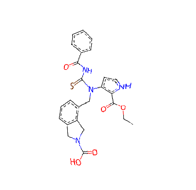 CCOC(=O)c1[nH]ccc1N(Cc1cccc2c1CN(C(=O)O)C2)C(=S)NC(=O)c1ccccc1